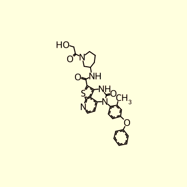 Cc1cc(Oc2ccccc2)ccc1N1C(=O)Nc2c(C(=O)NC3CCCN(C(=O)CO)C3)sc3nccc1c23